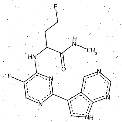 CNC(=O)C(CCF)Nc1nc(-c2c[nH]c3ncncc23)ncc1F